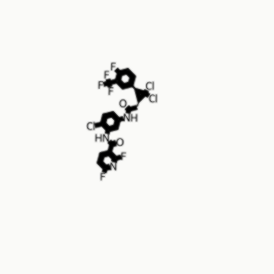 O=C(C[C@@H]1[C@@H](c2ccc(F)c(C(F)(F)F)c2)C1(Cl)Cl)Nc1ccc(Cl)c(NC(=O)c2ccc(F)nc2F)c1